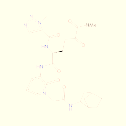 CNC(=O)C(=O)CC[C@H](NC(=O)c1cnnn1C)C(=O)Nc1cccn(CC(=O)NC2CC3CCC2C3)c1=O